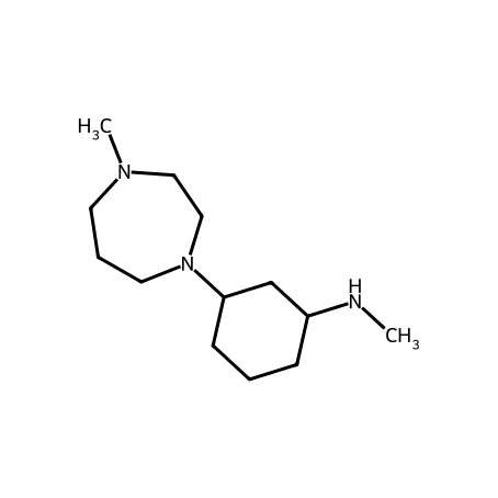 CNC1CCCC(N2CCCN(C)CC2)C1